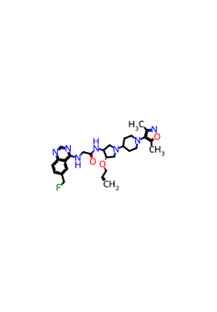 C=CCO[C@H]1CN(C2CCN(c3c(C)noc3C)CC2)CC1NC(=O)CNc1ncnc2ccc(CF)cc12